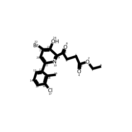 CCOC(=O)CCC(=O)c1nc(-c2cccc(Cl)c2C)cc(Br)c1O